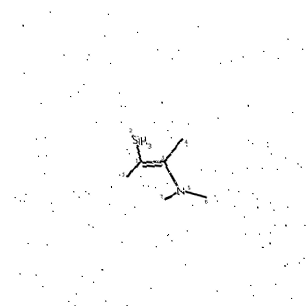 CC([SiH3])=C(C)N(C)C